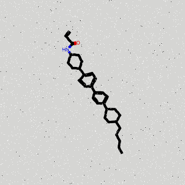 C=CC(=O)NC1CCC(c2ccc(-c3ccc(C4CCC(CCCCC)CC4)cc3)cc2)CC1